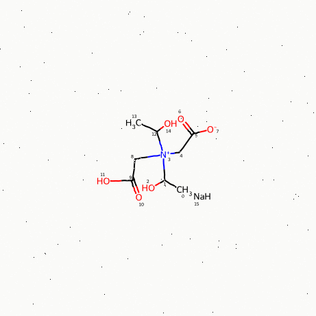 CC(O)[N+](CC(=O)[O-])(CC(=O)O)C(C)O.[NaH]